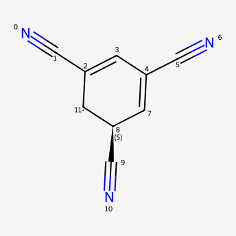 N#CC1=CC(C#N)=C[C@@H](C#N)[CH]1